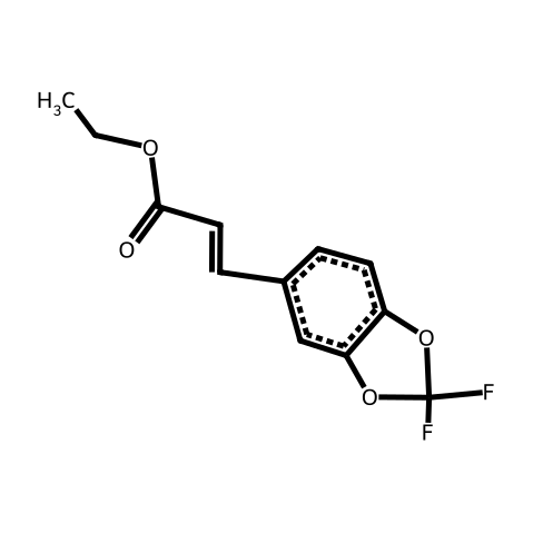 CCOC(=O)/C=C/c1ccc2c(c1)OC(F)(F)O2